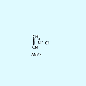 CC#N.[Cl-].[Cl-].[Mn+2]